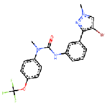 CN(C(=O)Nc1cccc(-c2nn(C)cc2Br)c1)c1ccc(OC(F)(F)F)cc1